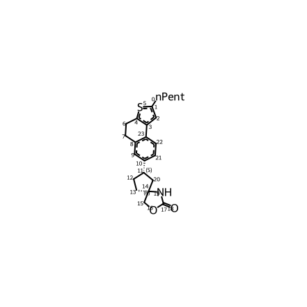 CCCCCc1cc2c(s1)CCc1cc([C@H]3CC[C@]4(COC(=O)N4)C3)ccc1-2